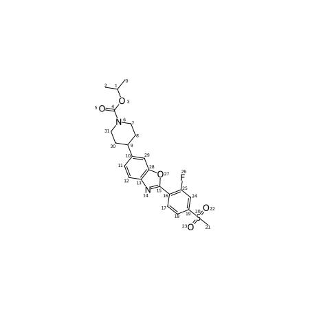 CC(C)OC(=O)N1CCC(c2ccc3nc(-c4ccc(S(C)(=O)=O)cc4F)oc3c2)CC1